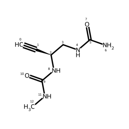 C#C[C@@H](CNC(N)=O)NC(=O)NC